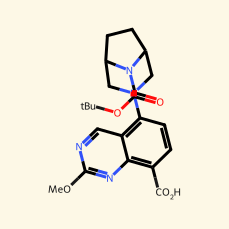 COc1ncc2c(N3CC4CCC(C3)N4C(=O)OC(C)(C)C)ccc(C(=O)O)c2n1